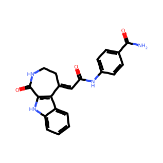 NC(=O)c1ccc(NC(=O)C=C2CCNC(=O)c3[nH]c4ccccc4c32)cc1